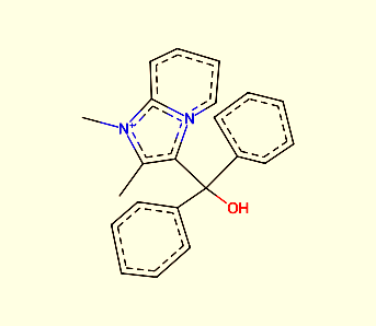 Cc1c(C(O)(c2ccccc2)c2ccccc2)n2ccccc2[n+]1C